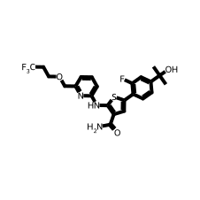 CC(C)(O)c1ccc(-c2cc(C(N)=O)c(Nc3cccc(COCCC(F)(F)F)n3)s2)c(F)c1